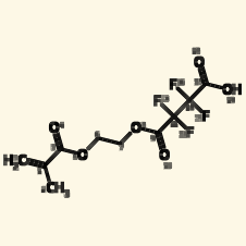 C=C(C)C(=O)OCCOC(=O)C(F)(F)C(F)(F)C(=O)O